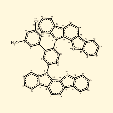 Cc1cc(-c2cc(-n3c4ccccc4c4ccc5c6ccccc6oc5c43)ncc2-n2c3ccccc3c3ccc4c5ccccc5oc4c32)cc(C(F)(F)F)c1